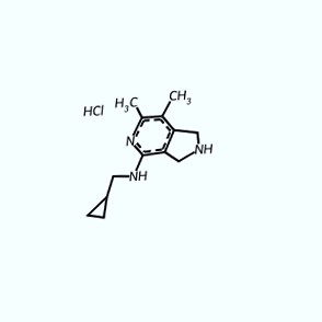 Cc1nc(NCC2CC2)c2c(c1C)CNC2.Cl